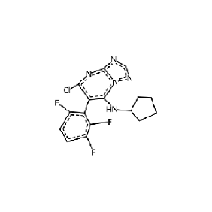 Fc1ccc(F)c(-c2c(Cl)nc3ncnn3c2NC2CCCC2)c1F